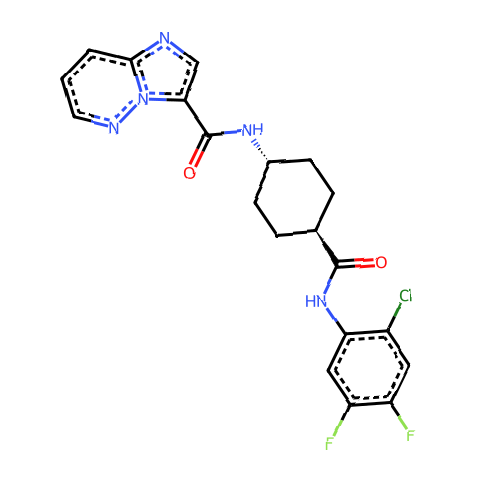 O=C(N[C@H]1CC[C@H](C(=O)Nc2cc(F)c(F)cc2Cl)CC1)c1cnc2cccnn12